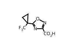 O=C(O)c1noc(C2(C(F)(F)F)CC2)n1